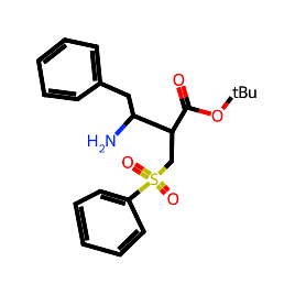 CC(C)(C)OC(=O)C(CS(=O)(=O)c1ccccc1)C(N)Cc1ccccc1